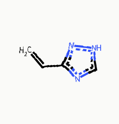 C=Cc1nc[nH]n1